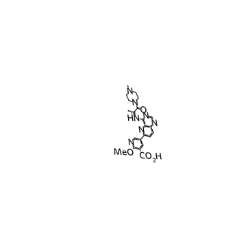 COc1ncc(-c2ccc3ncnc(N[C@@H](C)C(=O)N4CCN(C)CC4)c3n2)cc1C(=O)O